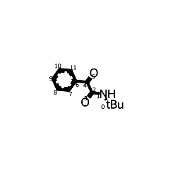 CC(C)(C)NC(=O)C(=O)c1ccccc1